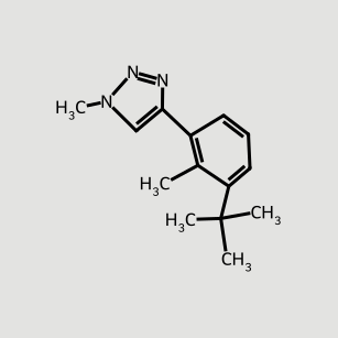 Cc1c(-c2cn(C)nn2)cccc1C(C)(C)C